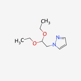 CCOC(Cn1cccn1)OCC